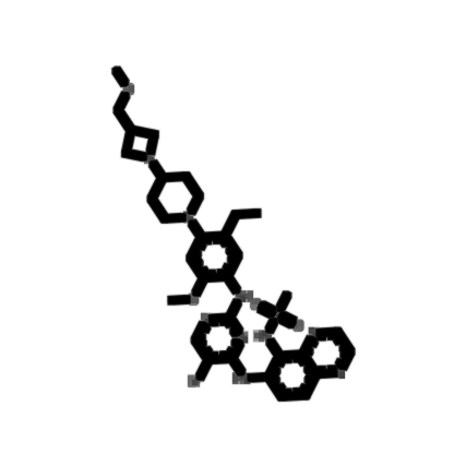 CCc1cc(Nc2ncc(Br)c(Nc3ccc4nccnc4c3NS(C)(=O)=O)n2)c(OC)cc1N1CCC(N2CC(COC)C2)CC1